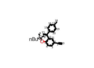 C#Cc1ccc(O[Si](C)(C)CCCC)c(C(=C)c2ccc(C)cc2)c1